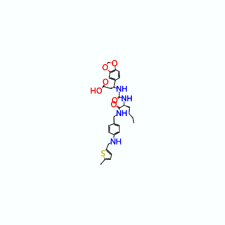 CCCC[C@H](NC(=O)N[C@@H](CC(=O)O)c1ccc2c(c1)OCO2)C(=O)NCc1ccc(NCc2ccc(C)s2)cc1